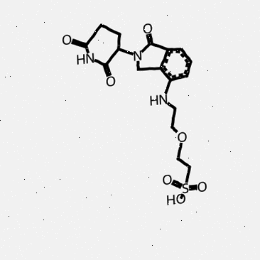 O=C1CCC(N2Cc3c(NCCOCCS(=O)(=O)O)cccc3C2=O)C(=O)N1